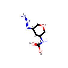 N=[N+]=NC1COCC(NC(=O)[O-])C1